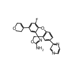 NC1=N[C@@]2(CO1)c1cc(-c3cnccn3)ccc1Oc1c(F)cc(C3=CCOCC3)cc12